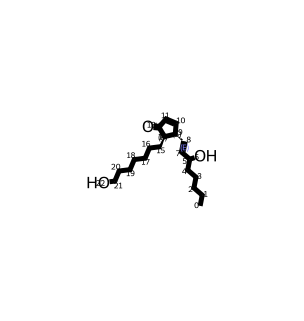 CCCCCC(O)/C=C/[C@H]1C=CC(=O)[C@@H]1CCCCCCCO